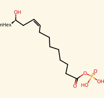 CCCCCC[C@@H](O)C/C=C\CCCCCCCC(=O)OP(=O)(O)O